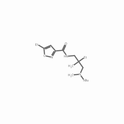 CCCCN(C)CC(C)(CC)CNC(=O)c1cc(CC)on1